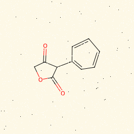 O=C1COC(=O)C1c1ccccc1